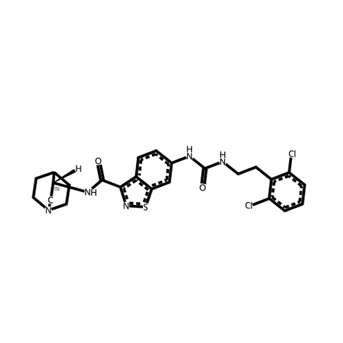 O=C(NCCc1c(Cl)cccc1Cl)Nc1ccc2c(C(=O)N[C@@H]3CN4CCC3CC4)nsc2c1